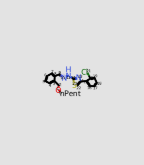 CCCCCOCc1ccccc1/C=N/Nc1nc(-c2ccccc2Cl)cs1